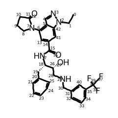 CCn1ncc2c(N3CCCC3=O)cc(C(=O)N[C@@H](Cc3ccccc3)[C@H](O)CNCc3cccc(C(F)(F)F)c3)cc21